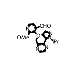 COc1nccc(C=O)c1OCc1nccnc1-c1ccnn1C(C)C